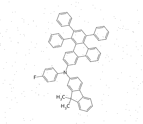 CC1(C)c2ccccc2-c2ccc(N(c3ccc(F)cc3)c3ccc4c(c3)c3ccccc3c3c(-c5ccccc5)cc(-c5ccccc5)c(-c5ccccc5)c43)cc21